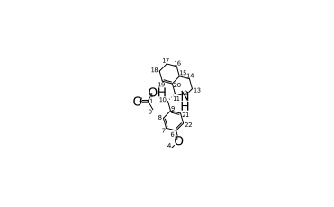 CC(=O)O.COc1ccc(C[C@H]2NCCC3CCCC=C32)cc1